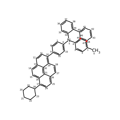 Cc1ccc(N(c2ccc(-c3ccc4ccc5c(C6CCCCC6)ccc6ccc3c4c65)cc2)c2ccccc2-c2ccccc2)cc1